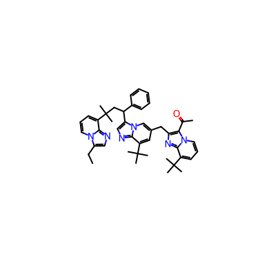 CCc1cnc2c(C(C)(C)CC(c3ccccc3)c3cnc4c(C(C)(C)C)cc(Cc5nc6c(C(C)(C)C)cccn6c5C(C)=O)cn34)cccn12